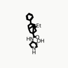 CCC12CC3CC(C(=O)N[C@@H]4CCNC[C@H]4O)(C1)CC(c1ccccc1)(C3)C2